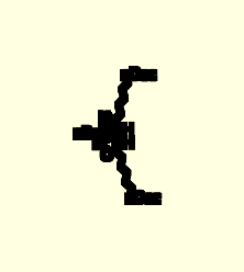 CCCCCCCCCCCCCCCC(=O)NC(CC)(NCCCC)NC(=O)CCCCCCCCCCCCCCC